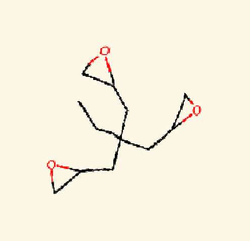 CCC(CC1CO1)(CC1CO1)CC1CO1